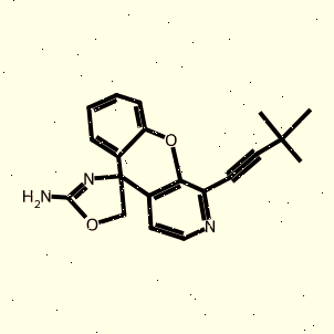 CC(C)(C)C#Cc1nccc2c1Oc1ccccc1C21COC(N)=N1